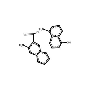 Nc1cc2ccccc2cc1C(=O)O.Nc1cccc2c(O)cccc12